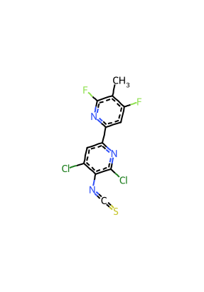 Cc1c(F)cc(-c2cc(Cl)c(N=C=S)c(Cl)n2)nc1F